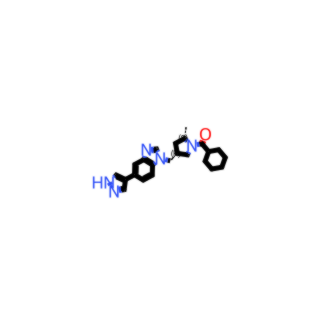 C[C@H]1C[C@@H](Cn2cnc3cc(-c4cn[nH]c4)ccc32)CN1C(=O)C1CCCCC1